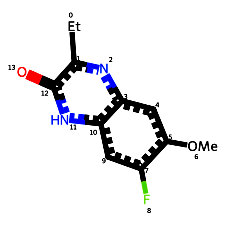 CCc1nc2cc(OC)c(F)cc2[nH]c1=O